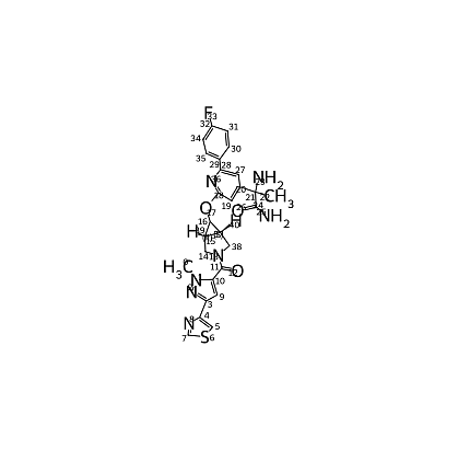 Cn1nc(-c2cscn2)cc1C(=O)N1C[C@@H]2C(Oc3cc(C(C)(N)C(N)=O)cc(-c4ccc(F)cc4)n3)[C@@H]2C1